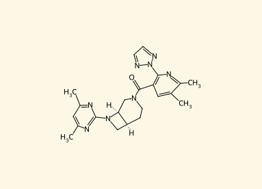 Cc1cc(C)nc(N2C[C@@H]3CCN(C(=O)c4cc(C)c(C)nc4-n4nccn4)C[C@@H]32)n1